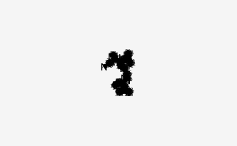 Cc1nc(-n2c3ccc4ccccc4c3c3c4c5ccccc5n5c6ccccc6c(cc32)c45)nc2cc(-c3ccc4c(ccc5c4c4c6c7ccccc7n7c8ccccc8c(cc4n5-c4nc(-c5ccc(C#N)cc5)c5ncccc5n4)c67)c3)ccc12